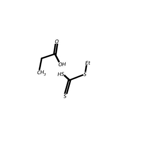 CCC(=O)O.CCSC(=S)S